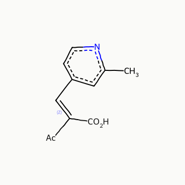 CC(=O)/C(=C/c1ccnc(C)c1)C(=O)O